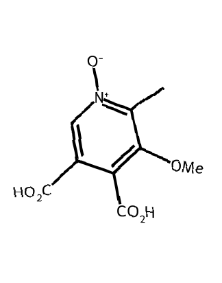 COc1c(C(=O)O)c(C(=O)O)c[n+]([O-])c1C